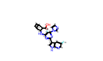 O=C(O)C1C2CCC3(CC23)C1Nc1nc(-c2c[nH]c3ncc(F)cc23)nc(-n2ccnc2)c1F